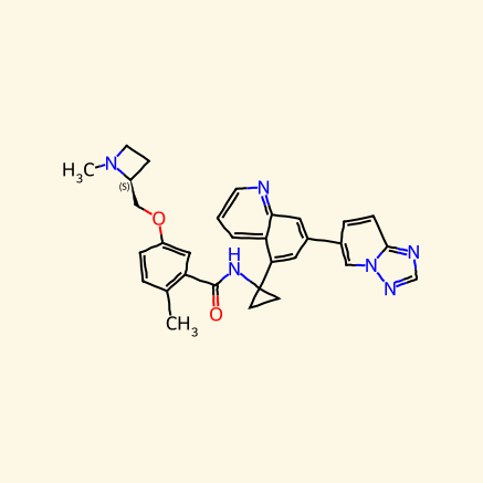 Cc1ccc(OC[C@@H]2CCN2C)cc1C(=O)NC1(c2cc(-c3ccc4ncnn4c3)cc3ncccc23)CC1